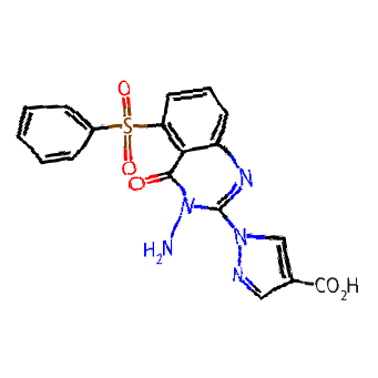 Nn1c(-n2cc(C(=O)O)cn2)nc2cccc(S(=O)(=O)c3ccccc3)c2c1=O